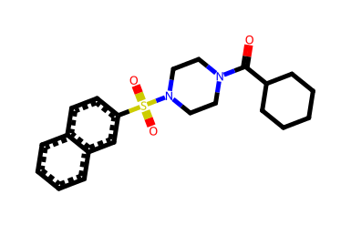 O=C(C1CCCCC1)N1CCN(S(=O)(=O)c2ccc3ccccc3c2)CC1